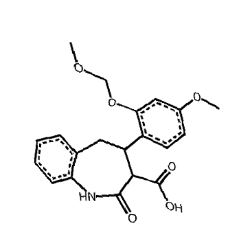 COCOc1cc(OC)ccc1C1Cc2ccccc2NC(=O)C1C(=O)O